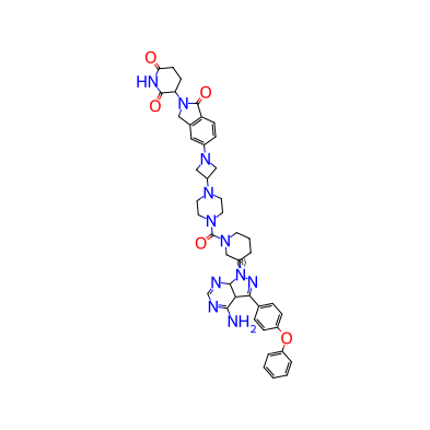 NC1=NC=NC2C1C(c1ccc(Oc3ccccc3)cc1)=NN2[C@@H]1CCCN(C(=O)N2CCN(C3CN(c4ccc5c(c4)CN(C4CCC(=O)NC4=O)C5=O)C3)CC2)C1